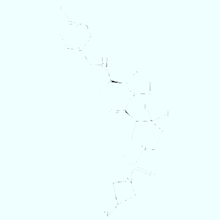 N#CC1CN(S(=O)(=O)N2CCC(F)(F)[C@H](C(=O)N3CCC[C@@H]3C(=O)NCc3ccc(C(F)(F)F)cc3)C2)C1